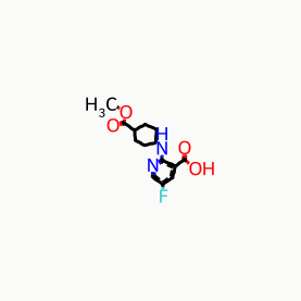 COC(=O)C1CCC(Nc2ncc(F)cc2C(=O)O)CC1